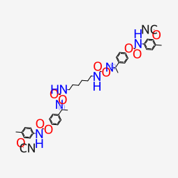 C/C(=N\OC(=O)NCCCCCCNC(=O)O/N=C(\C)c1ccc(OC(=O)Nc2ccc(C)c(OC#N)c2)cc1)c1ccc(OC(=O)Nc2ccc(C)c(OC#N)c2)cc1